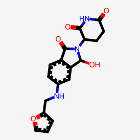 O=C1CCC(N2C(=O)c3ccc(NCc4ccco4)cc3C2O)C(=O)N1